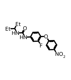 CCC(CC)NC(=O)Nc1ccc(Oc2ccc([N+](=O)[O-])cc2)c(F)c1